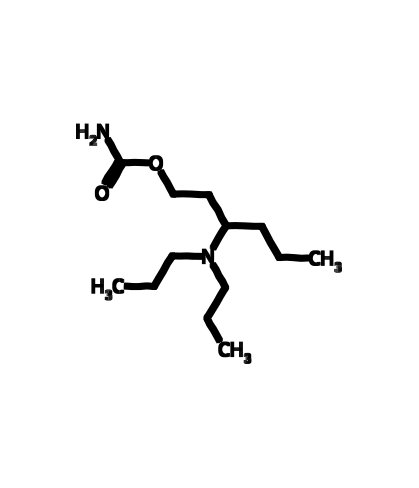 CCCC(CCOC(N)=O)N(CCC)CCC